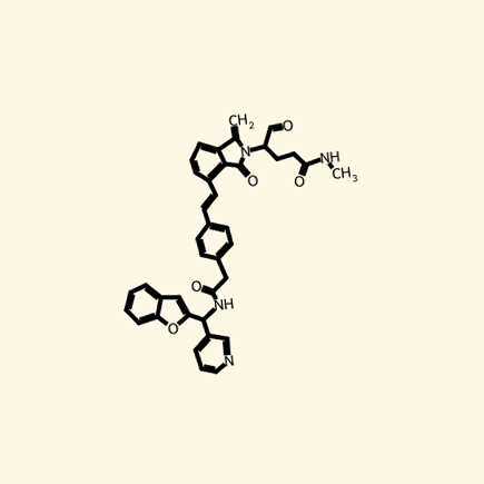 C=C1c2cccc(/C=C/c3ccc(CC(=O)NC(c4cccnc4)c4cc5ccccc5o4)cc3)c2C(=O)N1C(C=O)CCC(=O)NC